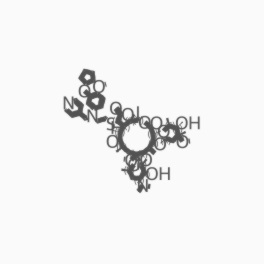 COc1ccc(N(CCS[C@@H]2C(=O)O[C@@]3(C)[C@H]2[C@@H](C)C(=O)[C@H](C)C[C@@](C)(OC)[C@H](O[C@@H]2O[C@H](C)C[C@H](N(C)C)[C@H]2O)C(C)[C@H](O[C@H]2C[C@@](C)(OC)[C@@H](O)[C@H](C)O2)[C@@H](C)C(=O)O[C@@H]3I)Cc2ccncc2)cc1OC1CCCC1